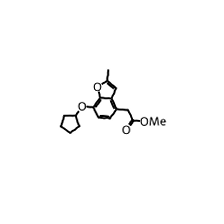 COC(=O)Cc1ccc(OC2CCCC2)c2oc(C)cc12